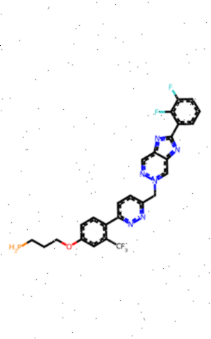 Fc1cccc(-c2nc3cnn(Cc4ccc(-c5ccc(OCCCP)cc5C(F)(F)F)nn4)cc-3n2)c1F